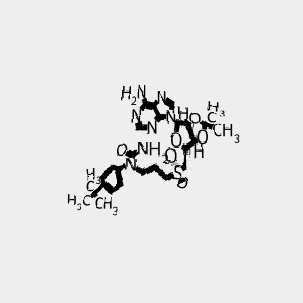 CC1(C)O[C@@H]2[C@H](O1)[C@@H](CS(=O)(=O)CCCN(C(N)=O)c1ccc(C(C)(C)C)cc1)O[C@H]2n1cnc2c(N)ncnc21